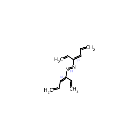 C=C/C=C(C=C)/N=N/C(C=C)=C/C=C